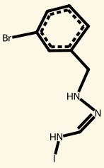 Brc1cccc(CN/N=C\NI)c1